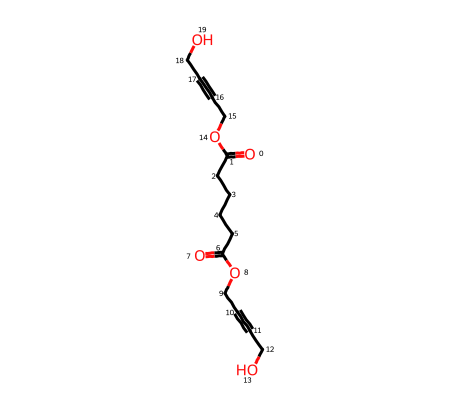 O=C(CCCCC(=O)OCC#CCO)OCC#CCO